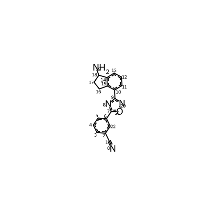 N#Cc1cccc(-c2nc(-c3cccc4c3CCC4N)no2)c1